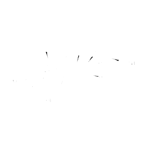 C[C@@H]1[C@]23CCC(=O)C(C)(C)C2[C@@H](O)CC2[C@]4(C)C[C@H](O)[C@H]([C@@]5(C)CC[C@@H](C(C)(C)O)O5)[C@@]4(C)CC[C@@]213